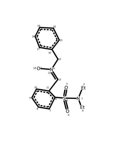 CCN(CC)S(=O)(=O)c1ccccc1/C=[N+](\[O-])Cc1ccccc1